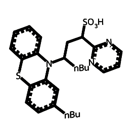 CCCCc1ccc2c(c1)N(C(CCCC)CC(c1ncccn1)S(=O)(=O)O)c1ccccc1S2